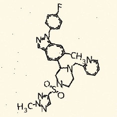 Cc1cc2c(cnn2-c2ccc(F)cc2)cc1C1CN(S(=O)(=O)c2cnn(C)n2)CCN1Cc1ccccn1